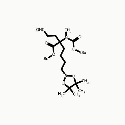 CN(C(=O)OC(C)(C)C)C(CCC=O)(CCCCB1OC(C)(C)C(C)(C)O1)C(=O)OC(C)(C)C